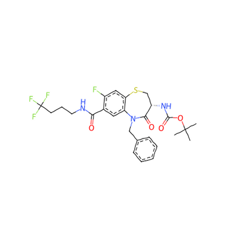 CC(C)(C)OC(=O)N[C@H]1CSc2cc(F)c(C(=O)NCCCC(F)(F)F)cc2N(Cc2ccccc2)C1=O